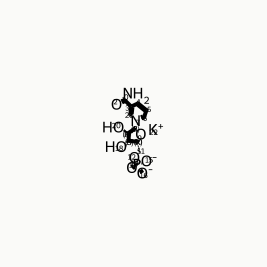 NC(=O)c1ccc[n+]([C@@H]2O[C@H](COP(=O)([O-])[O-])[C@@H](O)[C@H]2O)c1.[K+]